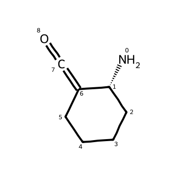 N[C@@H]1CCCCC1=C=O